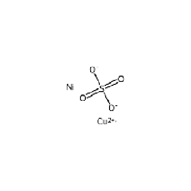 O=S(=O)([O-])[O-].[Cu+2].[Ni]